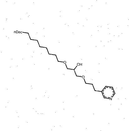 CCCCCCCCCCCCCCCCCCOCC(O)COCCCc1cccnc1